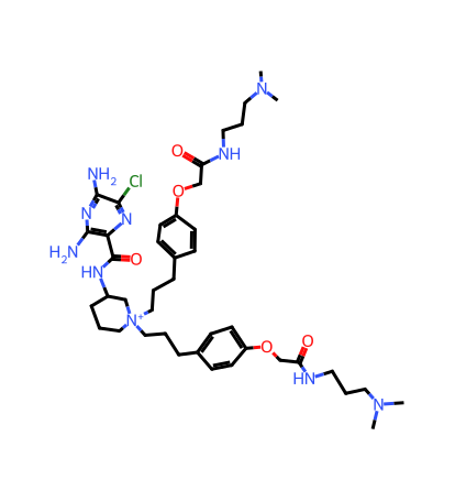 CN(C)CCCNC(=O)COc1ccc(CCC[N+]2(CCCc3ccc(OCC(=O)NCCCN(C)C)cc3)CCCC(NC(=O)c3nc(Cl)c(N)nc3N)C2)cc1